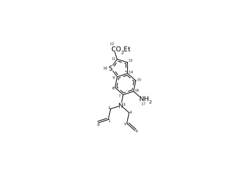 C=CCN(CC=C)c1cc2sc(C(=O)OCC)cc2cc1N